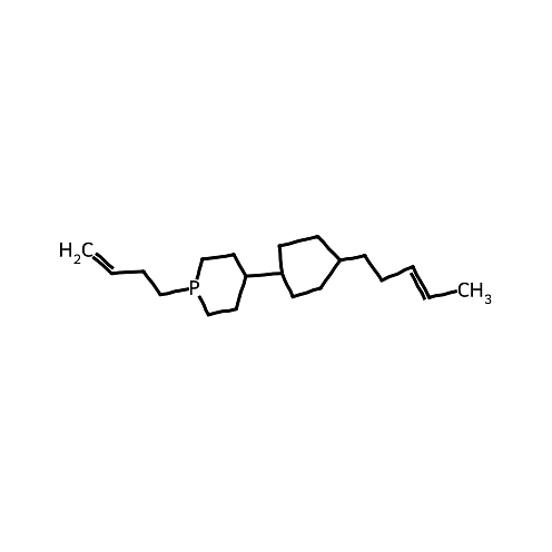 C=CCCP1CCC(C2CCC(CC/C=C/C)CC2)CC1